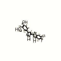 OCc1ccc(-c2cc(-c3nc4cc(Cl)c(F)cc4[nH]3)[nH]n2)cc1CO